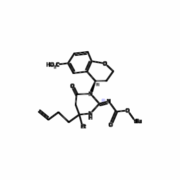 C=CCCC1(CC)CC(=O)N([C@@H]2CCOc3ccc(C(=O)O)cc32)/C(=N/C(=O)OC(C)(C)C)N1